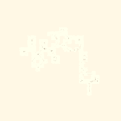 Cc1ncc(COc2ccc3oc(C)c(C(=O)NC4(C(F)F)CCC4)c3c2)s1